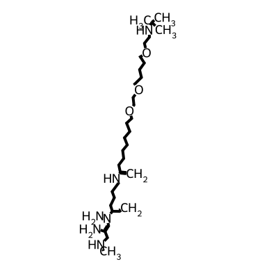 C=CC(CCCCNC(=C)CCCCCCCCOCCOCCCCCOCCNC(C)(C)C)N(N)/C=C(\N)CNC